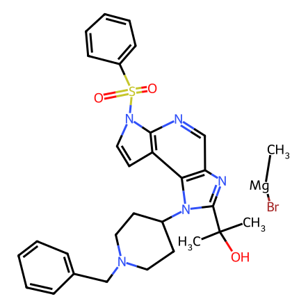 CC(C)(O)c1nc2cnc3c(ccn3S(=O)(=O)c3ccccc3)c2n1C1CCN(Cc2ccccc2)CC1.[CH3][Mg][Br]